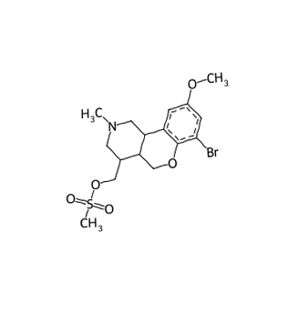 COc1cc(Br)c2c(c1)C1CN(C)CC(COS(C)(=O)=O)C1CO2